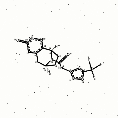 O=C(Nc1cc(C(F)(F)F)on1)N1[C@H]2CC[C@@H]1c1n[nH]c(=O)cc1C2